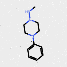 CNN1CCN(c2ccccc2)CC1